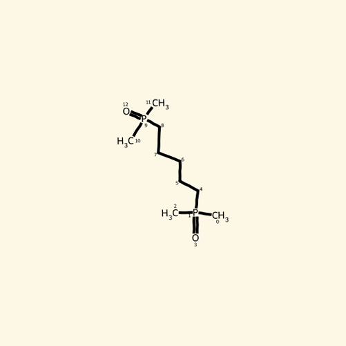 CP(C)(=O)CCCCCP(C)(C)=O